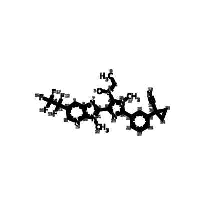 CC[S+]([O-])c1c(-c2nc3cc(C(F)(F)C(F)(F)F)cnc3n2C)nc(-c2cccc(C3(C#N)CC3)c2)n1C